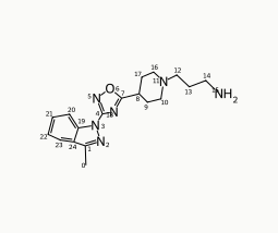 Cc1nn(-c2noc(C3CCN(CCCN)CC3)n2)c2ccccc12